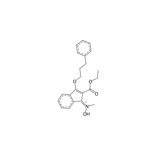 CCOC(=O)C1=C(OCCCc2ccccc2)c2ccccc2/C1=[N+](/C)O